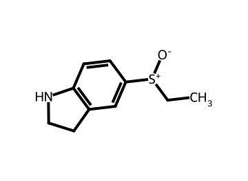 CC[S+]([O-])c1ccc2c(c1)CCN2